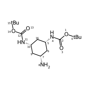 CC(C)(C)OC(=O)N[C@@H]1C[C@H](N)C[C@H](NC(=O)OC(C)(C)C)C1